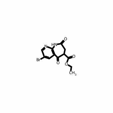 CCOC(=O)C1CC(=O)Nc2ncc(Br)cc2C1=O